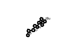 CC(C)(C)c1ccc2c(c1)C1(c3ccccc3-c3ccc(-c4ccc5c6c(cccc46)-c4cc(-c6cccc7c6oc6ccccc67)ccc4O5)cc31)c1cc(C(C)(C)C)ccc1-2